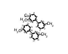 Cc1cccc(-c2cccc(C)n2)n1.Cc1cccc(-c2cccc(C)n2)n1.[Cu]